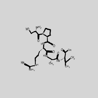 CC(C)[C@H](NC(=O)[C@H](C)NC(=O)[C@H](CCCNC(=N)N)NC(=O)[C@@H]1CCCN1C(=O)[C@@H](N)CO)C(=O)O